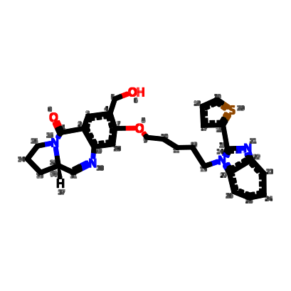 O=C1c2cc(CO)c(OCCCCCn3c(-c4cccs4)nc4ccccc43)cc2N=C[C@@H]2CCCN12